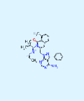 C=C(C)/C(=N\C=C/C)n1c(Cn2nc(-c3ccccc3)c3c(N)ncnc32)cc2cccc(C)c2c1=O